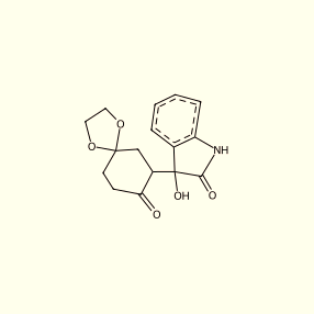 O=C1CCC2(CC1C1(O)C(=O)Nc3ccccc31)OCCO2